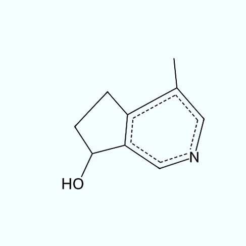 Cc1cncc2c1CCC2O